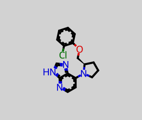 Clc1ccccc1OC[C@H]1CCCN1c1ccnc2[nH]cnc12